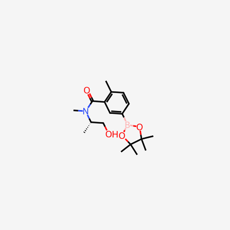 Cc1ccc(B2OC(C)(C)C(C)(C)O2)cc1C(=O)N(C)[C@@H](C)CO